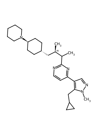 CC(c1nccc(-c2cnn(C)c2CC2CC2)n1)[C@H](C)C[C@H]1CC[C@H](N2CCCCC2)CC1